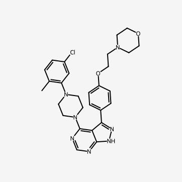 Cc1ccc(Cl)cc1N1CCN(c2ncnc3[nH]nc(-c4ccc(OCCN5CCOCC5)cc4)c23)CC1